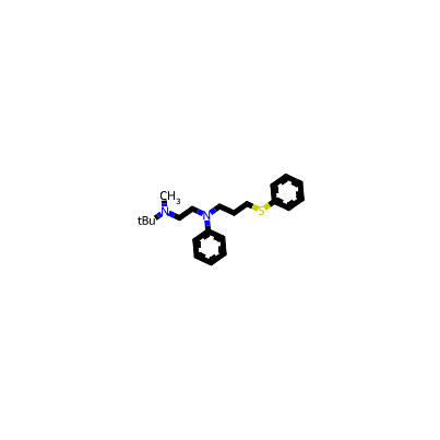 CN(CCN(CCCSc1ccccc1)c1ccccc1)C(C)(C)C